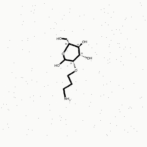 NCCCO[C@@H]1C(O)O[C@H](CO)[C@@H](O)[C@@H]1O